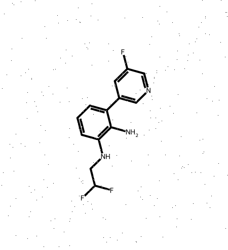 Nc1c(NCC(F)F)cccc1-c1cn[c]c(F)c1